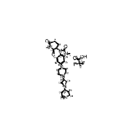 Cn1c(=O)n(C2CCC(=O)NC2=O)c2ccc(N3CCN(C4CN(C5CCNCC5)C4)CC3)cc21.O=C(O)C(F)(F)F